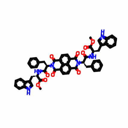 COC(=O)[C@H](Cc1c[nH]c2ccccc12)NC(=O)[C@@H](Cc1ccccc1)N1C(=O)c2ccc3c4c(ccc(c24)C1=O)C(=O)N([C@@H](Cc1ccccc1)C(=O)N[C@H](Cc1c[nH]c2ccccc12)C(=O)OC)C3=O